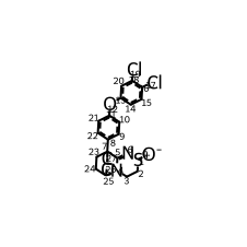 [O-][S+]1CCN2C(=N1)C1(c3ccc(Oc4ccc(Cl)c(Cl)c4)cc3)CCC2CC1